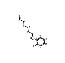 C=CCCCCCOc1ccccc1C